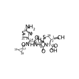 C#CC1=C(C(=O)O)N2C(=O)[C@@H](NC(=O)C(=NOC3CC3)c3csc(N)n3)[C@@H]2SC1